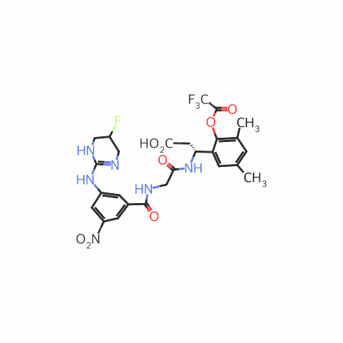 Cc1cc(C)c(OC(=O)C(F)(F)F)c([C@@H](CC(=O)O)NC(=O)CNC(=O)c2cc(NC3=NCC(F)CN3)cc([N+](=O)[O-])c2)c1